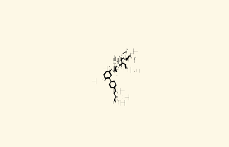 Cc1ccc(NC(=O)Nc2sc(C(C)(C)C)cc2C(=O)N2CCNC(=O)C2(C)C)cc1-c1ccc(NCC(O)CO)cc1